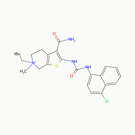 CC(C)(C)C[N+]1(C)CCc2c(sc(NC(=O)Nc3ccc(Cl)c4ccccc34)c2C(N)=O)C1